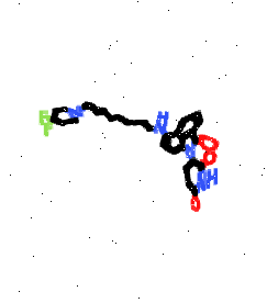 O=C1CCC(N2C(=O)c3cccc4c(NCCCCCCCCN5CCC(F)(F)CC5)ccc2c34)C(=O)N1